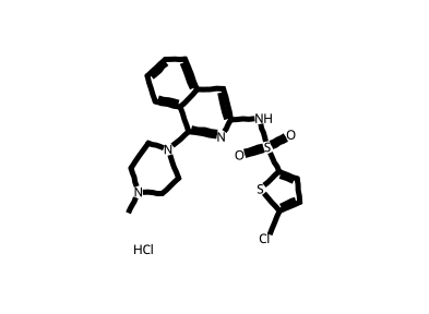 CN1CCN(c2nc(NS(=O)(=O)c3ccc(Cl)s3)cc3ccccc23)CC1.Cl